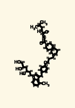 Cc1cccc2c1c(Cc1ccc(OCCCN3CCCC4(CCN(C(=O)CNC(=O)NCC(C)C)CC4)C3)cc1)cn2CC[C@@H](O)C[C@H](O)CO